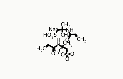 C=CC(=O)NC(C)(C)CS(=O)(=O)O.C=CC(=O)NC(C)(C)CS(=O)(=O)[O-].[Na+]